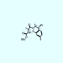 CC(C)[C@@H](c1ccc(F)cc1F)[C@H](C)OC(=O)[C@H](C)NC(=O)OC(C)(C)C